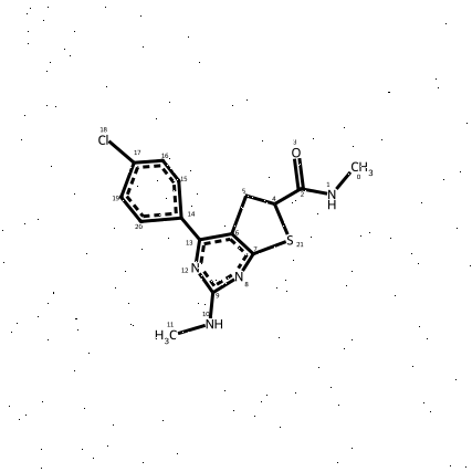 CNC(=O)C1Cc2c(nc(NC)nc2-c2ccc(Cl)cc2)S1